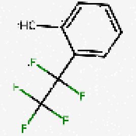 [CH]c1ccccc1C(F)(F)C(F)(F)F